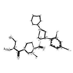 CC(=O)N[C@@H](CC(C)(C)C)C(=O)N1CCN(C(=O)[C@@H]2CN(C3CCCCC3)C[C@H]2c2ccc(F)cc2F)[C@@H](C)C1